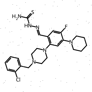 NC(=S)N/N=C/c1cc(F)c(N2CCCCC2)cc1N1CCN(Cc2ccccc2Cl)CC1